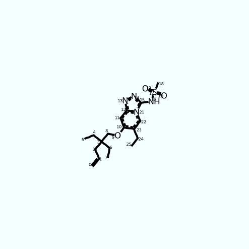 C=CCC(CC)(CC)COc1cc2nnc(NS(C)(=O)=O)n2cc1CC